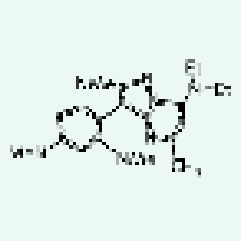 CCN(CC)c1cc(C)nc2c(-c3c(NC)cc(NC)cc3NC)cnn12